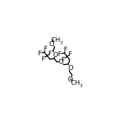 COCCOC(COCC(CC(F)(F)C(F)F)OCCOC)CC(F)(F)C(F)F